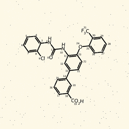 O=C(Nc1ccccc1Cl)Nc1cc(-c2cccc(C(=O)O)c2)ccc1Oc1ccccc1C(F)(F)F